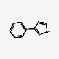 [c]1ccc(-c2cc[nH]c2)cc1